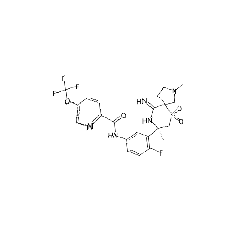 CN1CCC2(C1)C(=N)N[C@](C)(c1cc(NC(=O)c3ccc(OC(F)(F)F)cn3)ccc1F)CS2(=O)=O